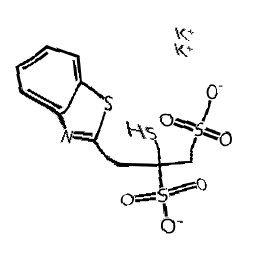 O=S(=O)([O-])CC(S)(Cc1nc2ccccc2s1)S(=O)(=O)[O-].[K+].[K+]